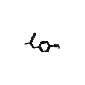 C=C=C(C)Cc1ccc(N)cc1